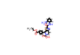 CCCOC(=O)c1ccc(C2c3sc(C(=O)Nc4ccccc4N)nc3CCN2C(=O)O)cc1